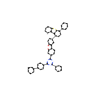 c1ccc(-c2ccc(-c3nc(-c4ccccc4)nc(-c4ccc5c(c4)oc4ccc(-c6ccc(-c7ccccc7)c7sc8ccccc8c67)cc45)n3)cc2)cc1